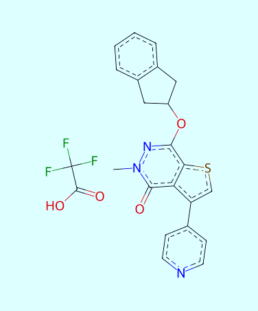 Cn1nc(OC2Cc3ccccc3C2)c2scc(-c3ccncc3)c2c1=O.O=C(O)C(F)(F)F